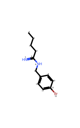 CCCCC(=N)NCc1ccc(Br)cc1